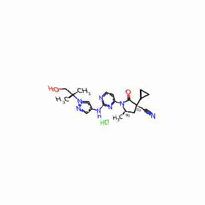 C[C@@H]1C[C@@](C#N)(C2CC2)C(=O)N1c1ccnc(Nc2cnn(C(C)(C)CO)c2)n1.Cl